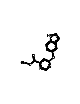 CC(C)(C)OC(=O)c1cc(Oc2ccc3[nH]ccc3c2)ncn1